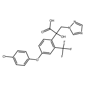 O=C(O)C(O)(Cn1cncn1)c1ccc(Oc2ccc(Cl)cc2)cc1C(F)(F)F